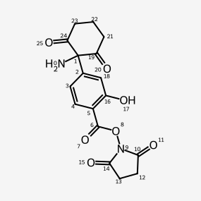 NC1(c2ccc(C(=O)ON3C(=O)CCC3=O)c(O)c2)C(=O)CCCC1=O